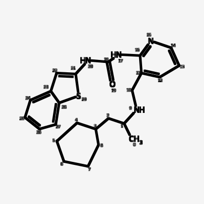 CC(CC1CCCCC1)NCc1cccnc1NC(=O)Nc1cc2ccccc2s1